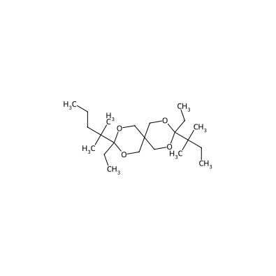 CCCC(C)(C)C1(CC)OCC2(COC(CC)(C(C)(C)CC)OC2)CO1